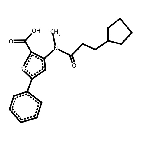 CN(C(=O)CCC1CCCC1)c1cc(-c2ccccc2)sc1C(=O)O